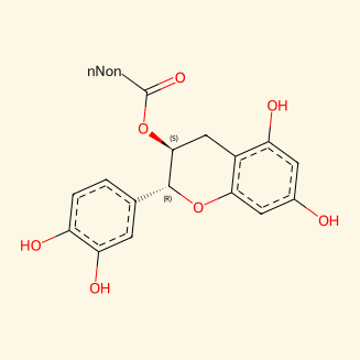 CCCCCCCCCC(=O)O[C@H]1Cc2c(O)cc(O)cc2O[C@@H]1c1ccc(O)c(O)c1